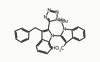 CCCCn1c(-n2c(-c3nnn[nH]3)c(Cc3ccccc3)c3ccccc32)c(C(=O)O)c2ccccc21